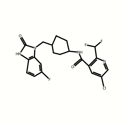 O=C(NC1CCC(Cn2c(=O)[nH]c3ccc(F)cc32)CC1)c1cc(Cl)cnc1C(F)F